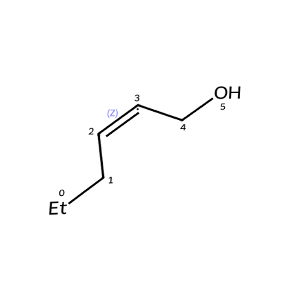 CCC/C=[C]\CO